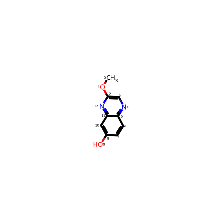 COc1cnc2ccc(O)cc2n1